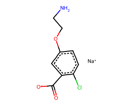 NCCOc1ccc(Cl)c(C(=O)[O-])c1.[Na+]